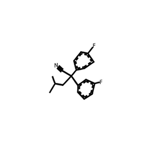 CC(C)CC(C#N)(c1ccc(F)cc1)c1cccc(F)c1